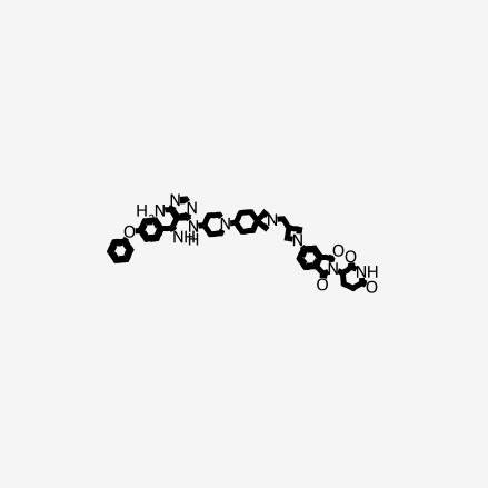 N=C(c1ccc(Oc2ccccc2)cc1)c1c(N)ncnc1NC1CCN(C2CCC3(CC2)CN(CC2CN(c4ccc5c(c4)C(=O)N(C4CCC(=O)NC4=O)C5=O)C2)C3)CC1